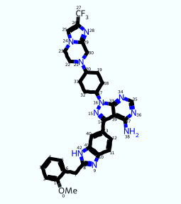 COc1ccccc1Cc1nc2ccc(-c3nn(C4CCC(N5CCn6cc(C(F)(F)F)nc6C5)CC4)c4ncnc(N)c34)cc2[nH]1